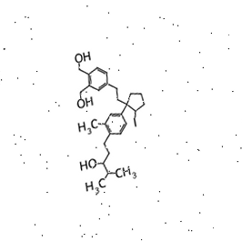 Cc1cc(C2(CCc3ccc(CO)c(CO)c3)CCCC2I)ccc1CCC(O)C(C)C